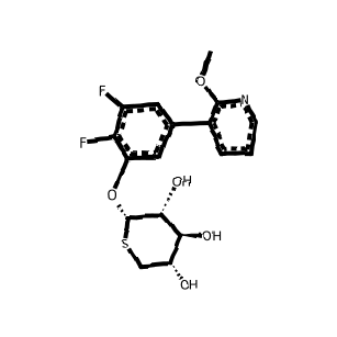 COc1ncccc1-c1cc(F)c(F)c(O[C@H]2SC[C@@H](O)[C@H](O)[C@H]2O)c1